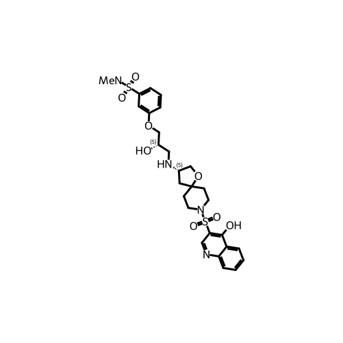 CNS(=O)(=O)c1cccc(OC[C@@H](O)CN[C@@H]2COC3(CCN(S(=O)(=O)c4cnc5ccccc5c4O)CC3)C2)c1